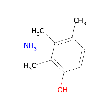 Cc1ccc(O)c(C)c1C.N